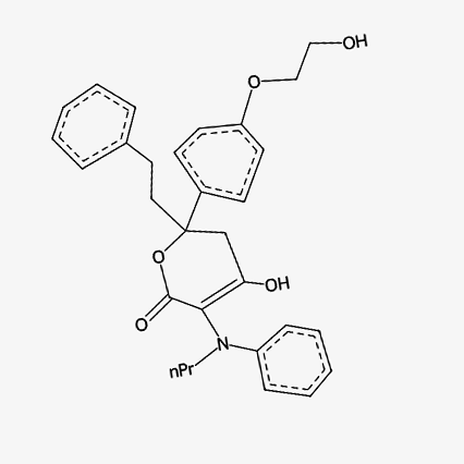 CCCN(C1=C(O)CC(CCc2ccccc2)(c2ccc(OCCO)cc2)OC1=O)c1ccccc1